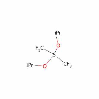 CC(C)O[Si](OC(C)C)(C(F)(F)F)C(F)(F)F